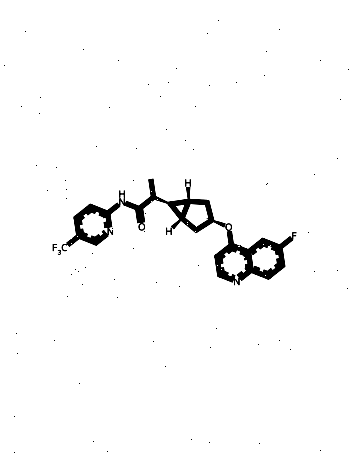 CC(C(=O)Nc1ccc(C(F)(F)F)cn1)[C@H]1[C@@H]2C[C@@H](Oc3ccnc4ccc(F)cc34)C[C@@H]21